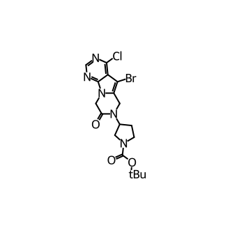 CC(C)(C)OC(=O)N1CCC(N2Cc3c(Br)c4c(Cl)ncnc4n3CC2=O)C1